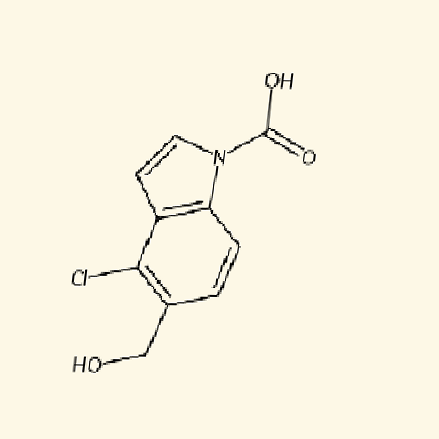 O=C(O)n1ccc2c(Cl)c(CO)ccc21